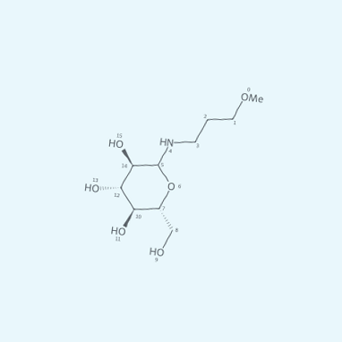 COCCCNC1O[C@H](CO)[C@@H](O)[C@H](O)[C@H]1O